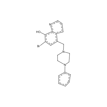 Oc1c(Br)cc(CN2CCN(c3ccccc3)CC2)c2cccnc12